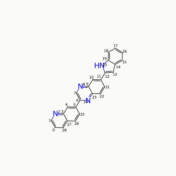 c1cnc2cc(-c3cnc4cc(-c5cc6ccccc6[nH]5)ccc4n3)ccc2c1